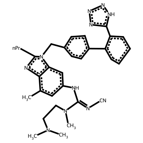 CCCc1nc2c(C)cc(N/C(=N\C#N)N(C)CCN(C)C)cc2n1Cc1ccc(-c2ccccc2-c2nnn[nH]2)cc1